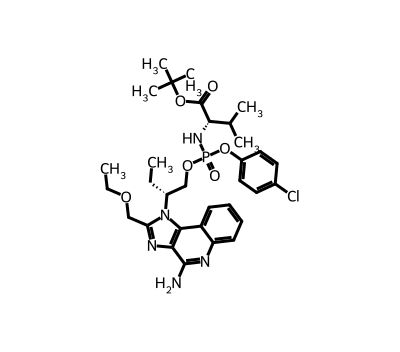 CCOCc1nc2c(N)nc3ccccc3c2n1[C@H](CC)COP(=O)(N[C@H](C(=O)OC(C)(C)C)C(C)C)Oc1ccc(Cl)cc1